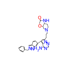 Nc1ncnn2c(CCCN3CCC4NC(=O)COC4C3)cc(-c3ccc4cn(Cc5ccccc5)nc4c3)c12